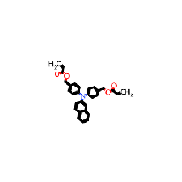 C=CC(=O)OCc1ccc(N(c2ccc(COC(=O)C=C)cc2)c2ccc3ccccc3c2)cc1